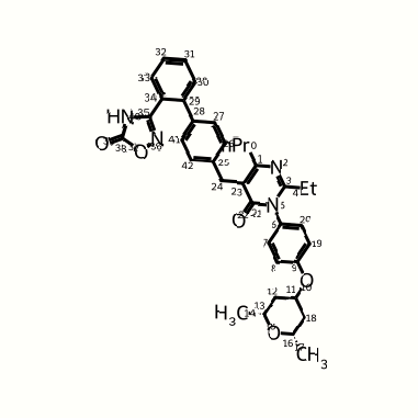 CCCc1nc(CC)n(-c2ccc(OC3C[C@@H](C)O[C@@H](C)C3)cc2)c(=O)c1Cc1ccc(-c2ccccc2-c2noc(=O)[nH]2)cc1